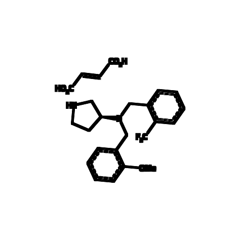 COc1ccccc1CN(Cc1ccccc1C(F)(F)F)[C@H]1CCNC1.O=C(O)/C=C/C(=O)O